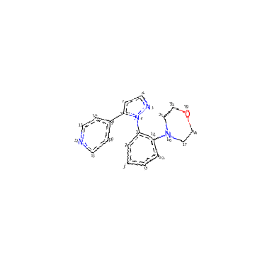 c1ccc(-n2nccc2-c2ccncc2)c(N2CCOCC2)c1